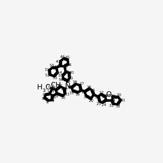 CC1(C)c2ccccc2-c2ccc(N(c3ccc(-c4ccc(-c5ccc6c(c5)oc5ccccc56)cc4)cc3)c3ccc(-c4ccccc4-c4ccccc4)cc3)cc21